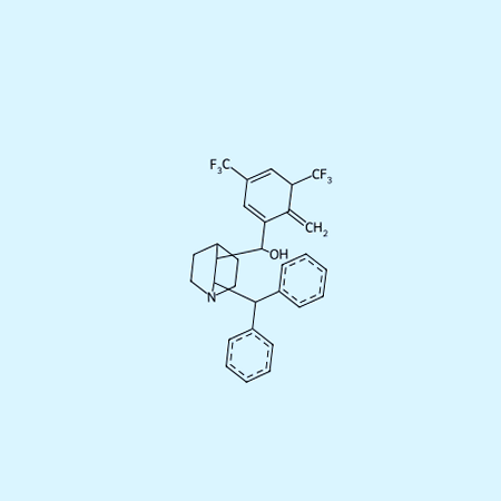 C=C1C(C(O)C2C3CCN(CC3)C2C(c2ccccc2)c2ccccc2)=CC(C(F)(F)F)=CC1C(F)(F)F